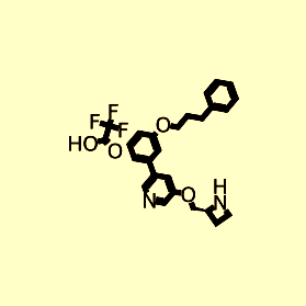 O=C(O)C(F)(F)F.c1ccc(CCCOc2cccc(-c3cncc(OC[C@@H]4CCN4)c3)c2)cc1